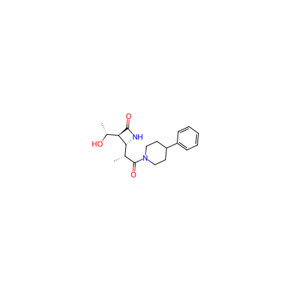 C[C@@H](O)[C@H]1C(=O)N[C@@H]1[C@@H](C)C(=O)N1CCC(c2ccccc2)CC1